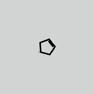 [C]1CC=CC1